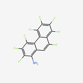 Nc1c(F)c(F)c(F)c2c1cc(F)c1c(F)c(F)c(F)c(F)c12